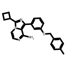 Cc1ccc(COc2cccc(-c3nc(C4CCC4)n4ccnc(N)c34)c2)cc1